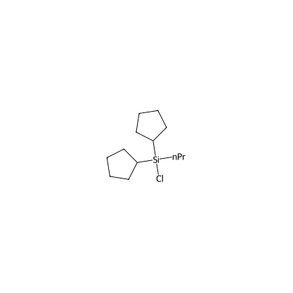 CCC[Si](Cl)(C1CCCC1)C1CCCC1